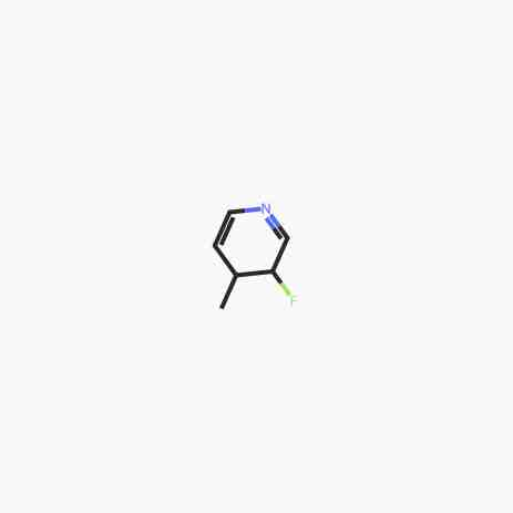 CC1C=CN=CC1F